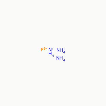 [NH4+].[NH4+].[NH4+].[P-3]